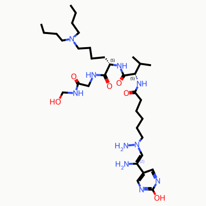 CCCCN(CCCC)CCCC[C@H](NC(=O)[C@@H](NC(=O)CCCCCN(N)/C=C(\N)c1cnc(O)nc1)C(C)C)C(=O)NCC(=O)NCO